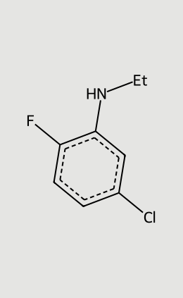 CCNc1cc(Cl)ccc1F